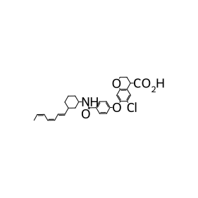 C\C=C/C=C\C=C\C1CCCC(NC(=O)c2ccc(Oc3cc4c(cc3Cl)C(C(=O)O)CCO4)cc2)C1